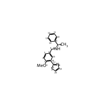 COc1ccc(CN[C@H](C)c2ccccc2)cc1-c1nccs1